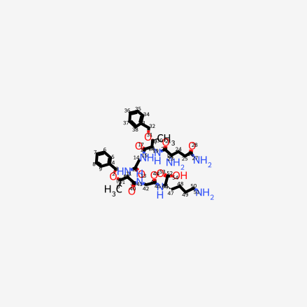 C[C@@H](OCc1ccccc1)[C@H](NC(=O)CNC(=O)[C@@H](NC(=O)[C@@H](N)CCC(N)=O)[C@@H](C)OCc1ccccc1)C(=O)NCC(=O)N[C@@H](CCCCN)C(=O)O